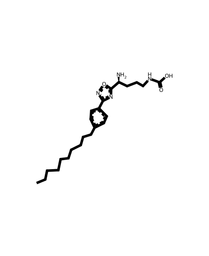 CCCCCCCCCCc1ccc(-c2noc([C@@H](N)CCCNC(=O)O)n2)cc1